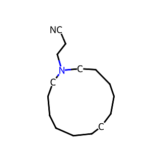 N#CCCN1CCCCCCCCCCCC1